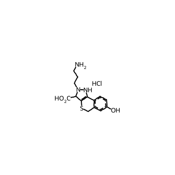 Cl.NCCCN1NC2=C(SCc3cc(O)ccc32)C1C(=O)O